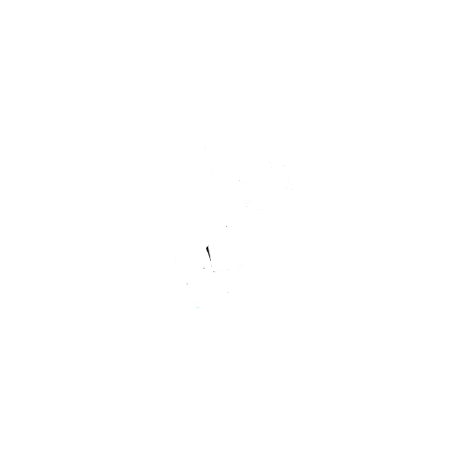 CC(C)(C[C@]1(C(F)(F)F)CO1)c1ccc(F)cc1CBr